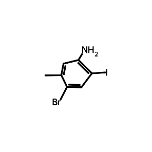 Cc1cc(N)c(I)cc1Br